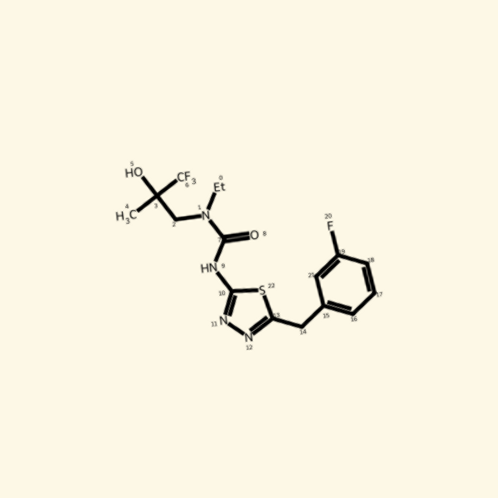 CCN(CC(C)(O)C(F)(F)F)C(=O)Nc1nnc(Cc2cccc(F)c2)s1